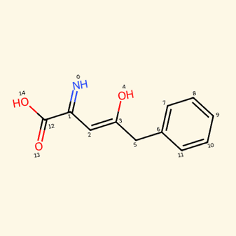 N=C(/C=C(\O)Cc1ccccc1)C(=O)O